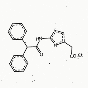 CCOC(=O)Cc1csc(NC(=O)C(c2ccccc2)c2ccccc2)n1